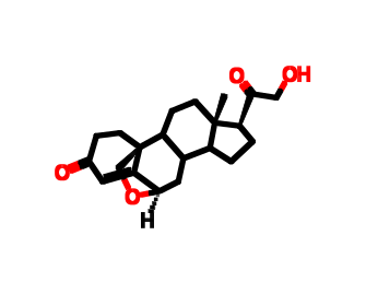 C[C@]12CCC3C(C[C@H]4OC[C@@]35CCC(=O)C=C45)C1CC[C@@H]2C(=O)CO